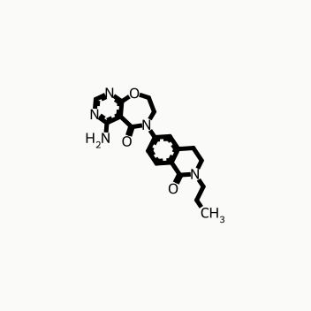 CCCN1CCc2cc(N3CCOc4ncnc(N)c4C3=O)ccc2C1=O